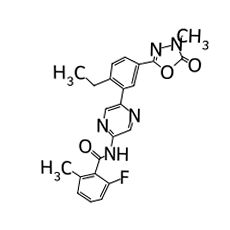 CCc1ccc(-c2nn(C)c(=O)o2)cc1-c1cnc(NC(=O)c2c(C)cccc2F)cn1